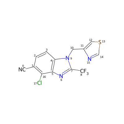 N#Cc1ccc2c(nc(C(F)(F)F)n2Cc2cscn2)c1Cl